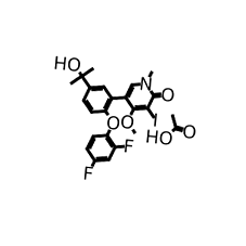 CC(=O)O.COc1c(-c2cc(C(C)(C)O)ccc2Oc2ccc(F)cc2F)cn(C)c(=O)c1I